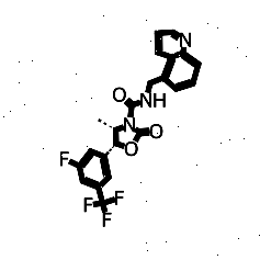 C[C@H]1[C@@H](c2cc(F)cc(C(F)(F)F)c2)OC(=O)N1C(=O)NCc1cccc2ncccc12